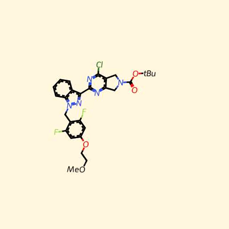 COCCOc1cc(F)c(Cn2nc(-c3nc(Cl)c4c(n3)CN(C(=O)OC(C)(C)C)C4)c3ccccc32)c(F)c1